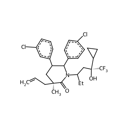 C=CC[C@@]1(C)CC(c2cccc(Cl)c2)C(c2ccc(Cl)cc2)N(C(CC)C[C@](O)(C2CC2)C(F)(F)F)C1=O